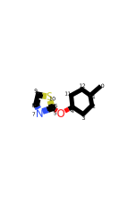 CC1CCC(Oc2nccs2)CC1